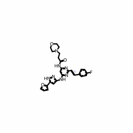 O=C(CCN1CCOCC1)Nc1cc(Nc2cc(-c3ccco3)[nH]n2)nc(/C=C/c2ccc(F)cc2)n1